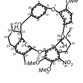 COc1ccc2cc1Oc1ccc(cc1)C[C@H]1c3cc(c(C)cc3CCN1C)Oc1c(OC)c(OC)c([N+](=O)[O-])c3c1[C@H](C2)N(C)CC3